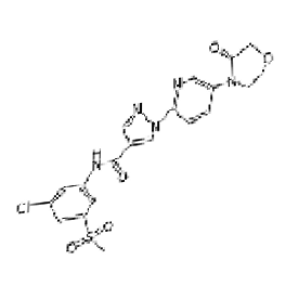 CS(=O)(=O)c1cc(Cl)cc(NC(=O)c2cnn(-c3ccc(N4CCOCC4=O)cn3)c2)c1